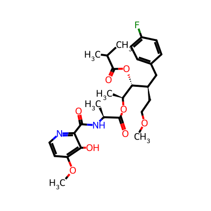 COCC[C@H](Cc1ccc(F)cc1)[C@@H](OC(=O)C(C)C)[C@H](C)OC(=O)[C@H](C)NC(=O)c1nccc(OC)c1O